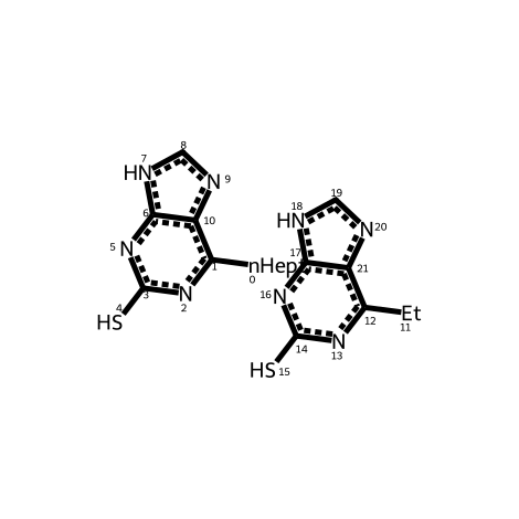 CCCCCCCc1nc(S)nc2[nH]cnc12.CCc1nc(S)nc2[nH]cnc12